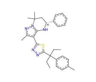 CCC(CC)(c1ccc(C)cc1)c1nnc(-c2c(C)nn3c2N[C@@H](c2ccccc2)CC3(C)C)s1